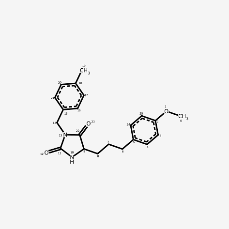 COc1ccc(CCCC2NC(=O)N(Cc3ccc(C)cc3)C2=O)cc1